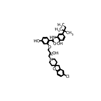 CCC(C)(C)c1ccc(O)c(NC(=O)c2ccc(O)cc2OC[C@H](O)CN2CCC3(CC2)Cc2cc(Cl)ccc2O3)c1